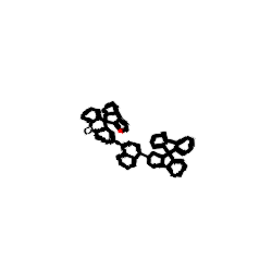 c1ccc2c(c1)Oc1ccc(-c3ccc(-c4ccc5c(c4)C4(c6ccccc6-c6ccccc64)c4ccccc4-5)c4ccccc34)cc1C21c2ccccc2-c2ccccc21